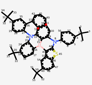 CC(C)(C)c1ccc(N2c3cccc4c3B(c3ccc(C(C)(C)C)cc3N4c3ccc(C(C)(C)C)cc3-c3ccccc3)c3c2sc2ccc(C(C)(C)C)cc32)cc1